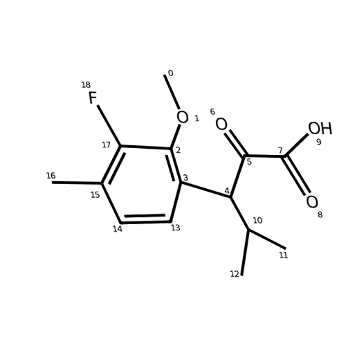 COc1c(C(C(=O)C(=O)O)C(C)C)ccc(C)c1F